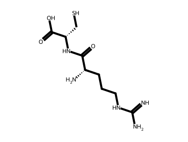 N=C(N)NCCC[C@H](N)C(=O)N[C@@H](CS)C(=O)O